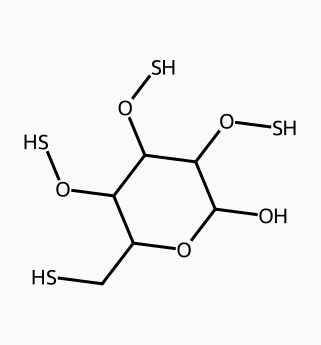 OC1OC(CS)C(OS)C(OS)C1OS